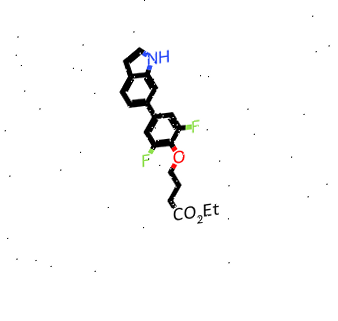 CCOC(=O)CCCOc1c(F)cc(-c2ccc3cc[nH]c3c2)cc1F